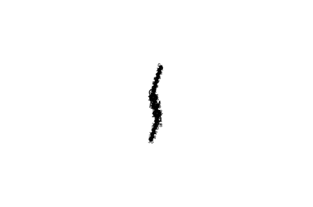 CCCCCCCCCCCCOc1ccc(-c2ncc(-c3ccc(OCC(F)CCCCCCCC)cc3)cn2)cc1